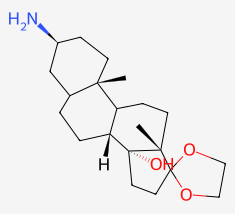 C[C@]12CC[C@H](N)CC1CC[C@@H]1C2CC[C@]2(C)C3(CC[C@@]12O)OCCO3